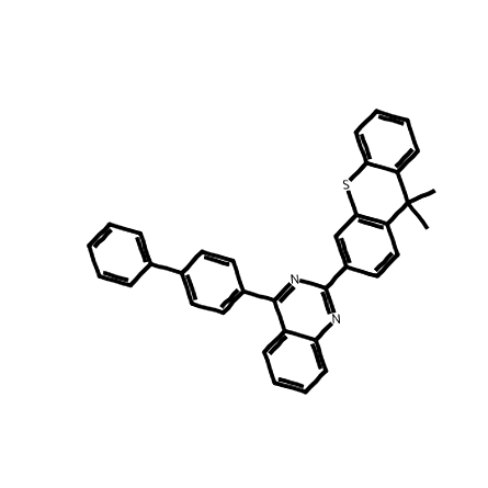 CC1(C)c2ccccc2Sc2cc(-c3nc(-c4ccc(-c5ccccc5)cc4)c4ccccc4n3)ccc21